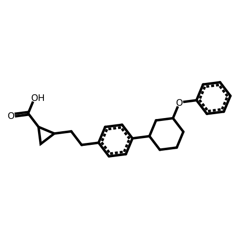 O=C(O)C1CC1CCc1ccc(C2CCCC(Oc3ccccc3)C2)cc1